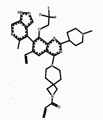 C=CC(=O)N1CC2(CCN(c3nc(C4CCN(C)CC4)nc4c(OCC(F)(F)F)c(-c5c(C)ncc6[nH]ncc56)c(C=C)cc34)CC2)C1